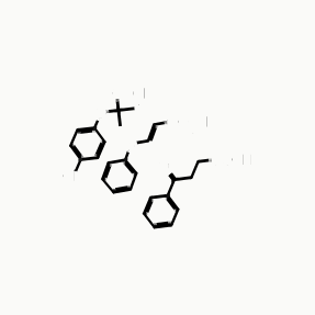 CC(C)(Oc1ccc(Cl)cc1)C(=O)O.O=C(O)C=CSc1ccccc1.O=C(O)CCC(=O)c1ccccc1